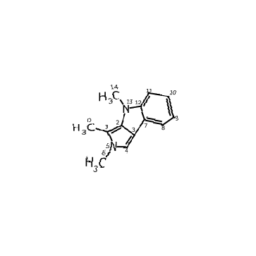 Cc1c2c(cn1C)c1ccccc1n2C